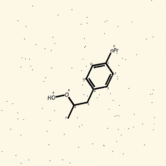 CCCc1ccc(CC(C)OO)cc1